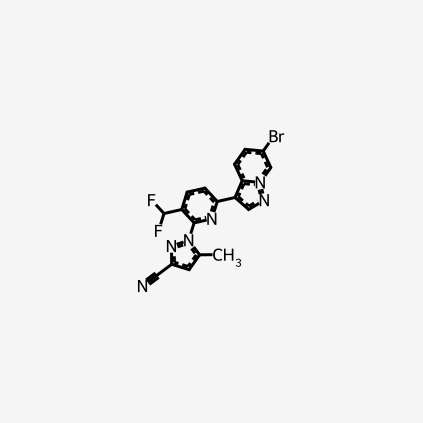 Cc1cc(C#N)nn1-c1nc(-c2cnn3cc(Br)ccc23)ccc1C(F)F